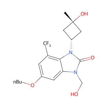 CCCCOc1cc(C(F)(F)F)c2c(c1)n(CO)c(=O)n2[C@H]1C[C@@](C)(O)C1